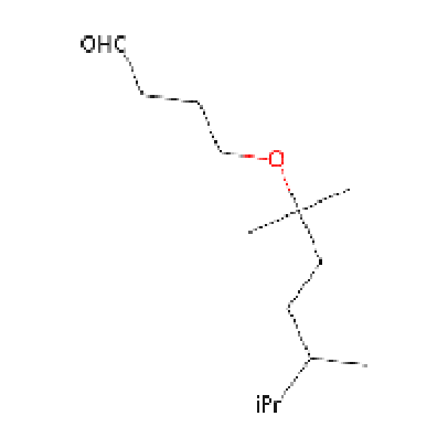 CC(C)C(C)CCC(C)(C)OCCCC=O